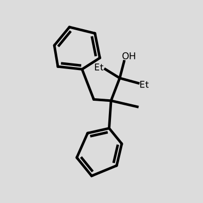 CCC(O)(CC)C(C)(Cc1ccccc1)c1ccccc1